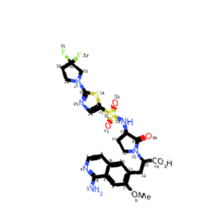 COc1cc2c(N)nccc2cc1CC(C(=O)O)N1CCC(NS(=O)(=O)c2cnc(N3CCC(F)(F)C3)s2)C1=O